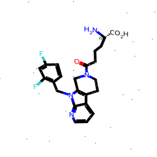 N[C@@H](CCCC(=O)N1CCc2c(n(Cc3ccc(F)cc3F)c3ncccc23)C1)C(=O)O